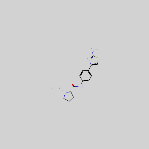 Nc1nc(-c2ccc(NC(=O)[C@@H]3CCCN3C(=O)O)cc2)cs1